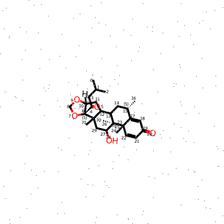 CC(C)CC(=O)[C@@]12OCO[C@@H]1CC1C3C[C@H](C)C4=CC(=O)C=CC4(C)[C@@]3(C)C(O)CC12C